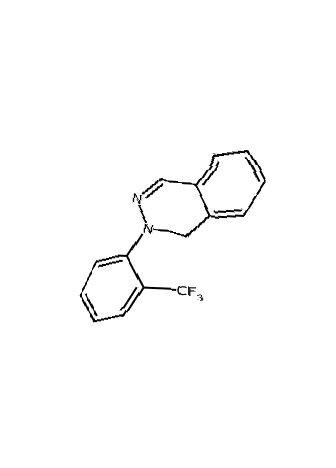 FC(F)(F)c1ccccc1N1Cc2ccccc2C=N1